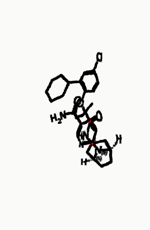 CC(C)(Oc1ccc(Cl)cc1C1CCCCC1)C(=O)N[C@H]1C[C@H]2CC[C@@H](C1)N2c1ccc(C(N)=O)cn1